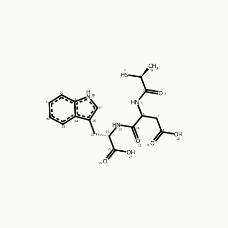 C[C@H](S)C(=O)NC(CC(=O)O)C(=O)N[C@@H](Cc1c[nH]c2ccccc12)C(=O)O